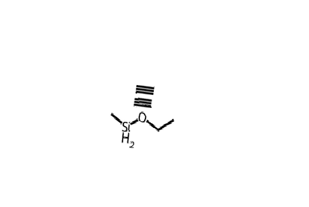 C#C.C#C.CCO[SiH2]C